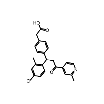 Cc1cc(C(=O)C[C@H](c2ccc(CC(=O)O)cc2)c2ccc(Cl)cc2C)ccn1